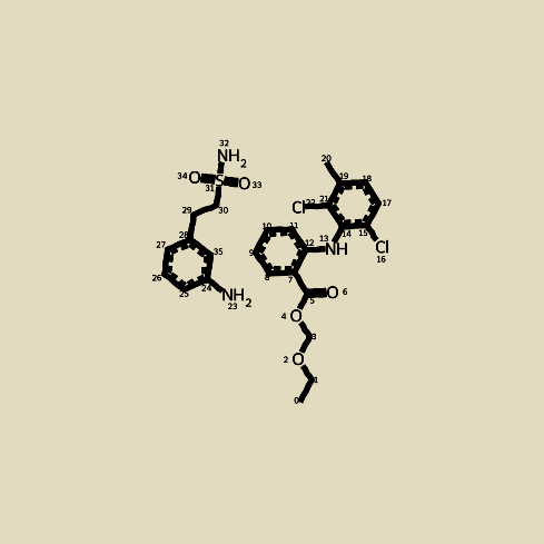 CCOCOC(=O)c1ccccc1Nc1c(Cl)ccc(C)c1Cl.Nc1cccc(CCS(N)(=O)=O)c1